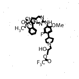 COc1cc(C2CCN(C[C@@H](O)COC(=O)C(F)(F)F)CC2)c(F)cc1Nc1ncc2ccc(-c3ccccc3N(C)S(C)(=O)=O)n2n1